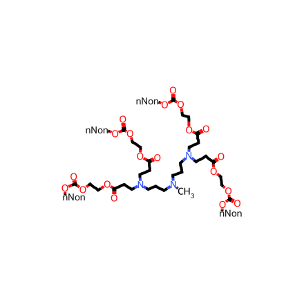 CCCCCCCCCOC(=O)OCCOC(=O)CCN(CCCN(C)CCCN(CCC(=O)OCCOC(=O)OCCCCCCCCC)CCC(=O)OCCOC(=O)OCCCCCCCCC)CCC(=O)OCCOC(=O)OCCCCCCCCC